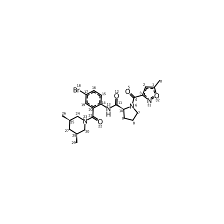 Cc1cc(C(=O)N2CCC[C@H]2C(=O)Nc2ccc(Br)cc2C(=O)N2C[C@H](C)C[C@H](C)C2)no1